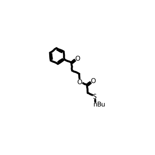 CCCCSCC(=O)OCCC(=O)c1ccccc1